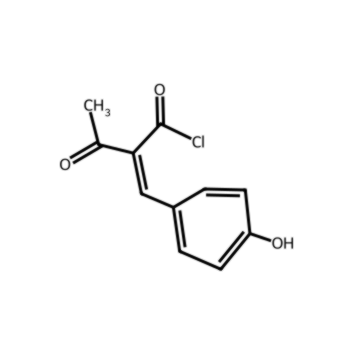 CC(=O)C(=Cc1ccc(O)cc1)C(=O)Cl